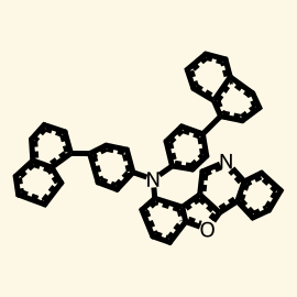 c1ccc2c(-c3ccc(N(c4ccc(-c5cccc6ccccc56)cc4)c4cccc5oc6c7ccccc7ncc6c45)cc3)cccc2c1